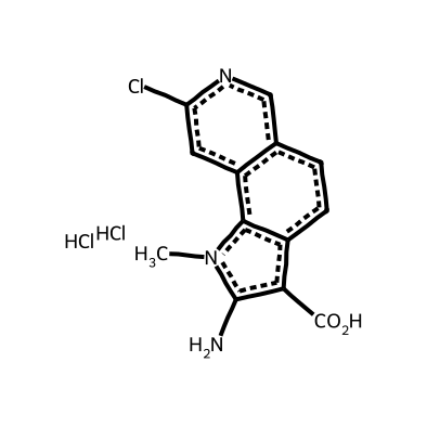 Cl.Cl.Cn1c(N)c(C(=O)O)c2ccc3cnc(Cl)cc3c21